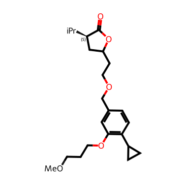 COCCCOc1cc(COCCC2C[C@@H](C(C)C)C(=O)O2)ccc1C1CC1